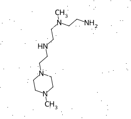 CN(CCN)CCNCCN1CCN(C)CC1